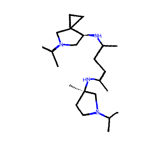 CC(CCC(C)N[C@]1(C)CCN(C(C)C)C1)N[C@H]1CN(C(C)C)CC12CC2